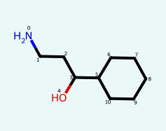 NCCC(O)C1CCCCC1